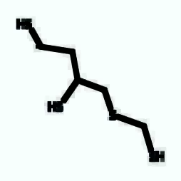 S[CH]CC(S)CSCS